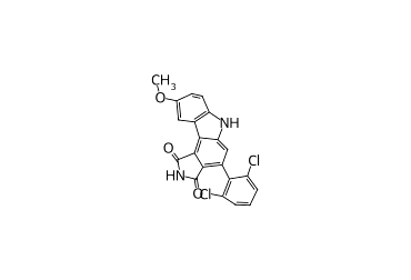 COc1ccc2[nH]c3cc(-c4c(Cl)cccc4Cl)c4c(c3c2c1)C(=O)NC4=O